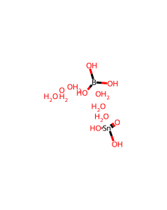 O.O.O.O.O.O.OB(O)O.[O]=[Sn]([OH])[OH]